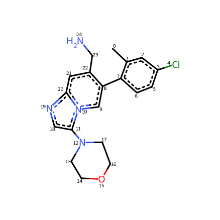 Cc1cc(Cl)ccc1-c1cn2c(N3CCOCC3)cnc2cc1CN